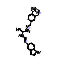 CCC/C=C\c1cc(/C=N/NC(=N)N/N=C/c2ccc3[nH]ccc3c2)ccc1C